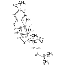 COc1ccc2c(c1)CC[C@@H]1[C@@H]2CC[C@]2(C)[C@@H](N(C=O)CCCN(C)C)CC[C@@H]12